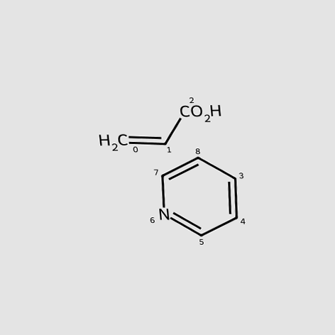 C=CC(=O)O.c1ccncc1